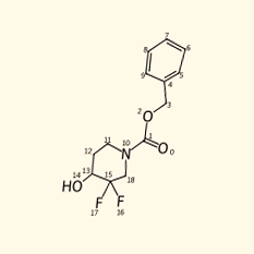 O=C(OCc1ccccc1)N1CCC(O)C(F)(F)C1